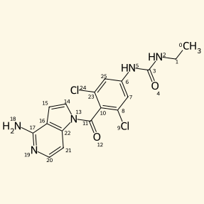 CCNC(=O)Nc1cc(Cl)c(C(=O)n2ccc3c(N)nccc32)c(Cl)c1